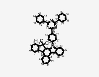 CC1(C)c2ccccc2-c2c1c1c(c3ccccc23)c2ccccc2n1-c1ccc(-c2nc(-c3ccccc3)nc(-c3ccccc3)n2)cc1